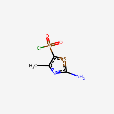 Cc1nc(N)sc1S(=O)(=O)Cl